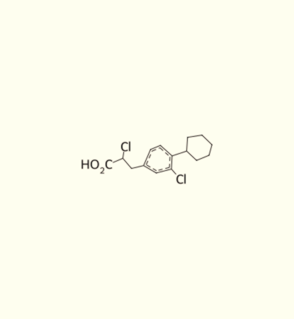 O=C(O)C(Cl)Cc1ccc(C2CCCCC2)c(Cl)c1